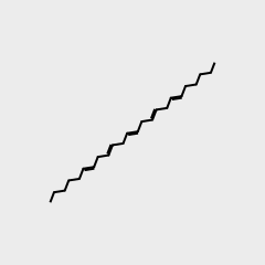 CCCCCC=CCC=CCC=CCC=CCC=CCCCCC